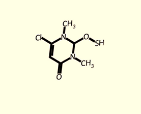 CN1C(=O)C=C(Cl)N(C)C1OS